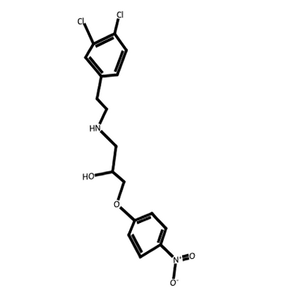 O=[N+]([O-])c1ccc(OCC(O)CNCCc2ccc(Cl)c(Cl)c2)cc1